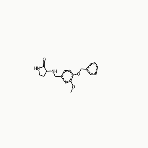 COc1cc(CNC2CCNC2=O)ccc1OCc1ccccc1